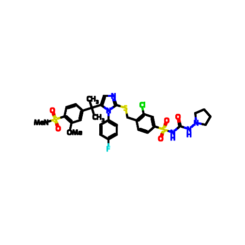 CNS(=O)(=O)c1ccc(C(C)(C)c2cnc(SCc3ccc(S(=O)(=O)NC(=O)NN4CCCC4)cc3Cl)n2-c2ccc(F)cc2)cc1OC